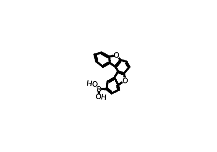 OB(O)c1ccc2oc3ccc4oc5ccccc5c4c3c2c1